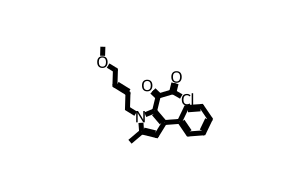 COCC=CCn1c(C)cc(-c2ccccc2)c1C(=O)C(=O)Cl